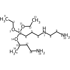 CCO[Si](CCCNCCN)(OCC)OC(C)CCN